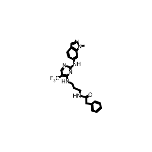 Cn1ncc2ccc(Nc3ncc(C(F)(F)F)c(NCCCNC(=O)Cc4ccccc4)n3)cc21